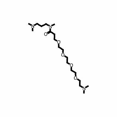 CN(C)CCCN(C)C(=O)CCOCCOCCOCCOCCN(C)C